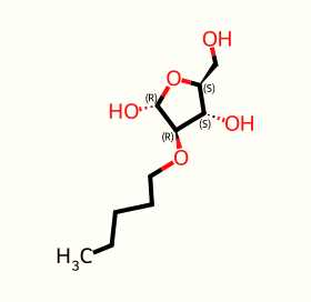 CCCCCO[C@@H]1[C@@H](O)[C@H](CO)O[C@H]1O